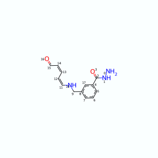 NNC(=O)c1cccc(CN/C=C\C=C/C=O)c1